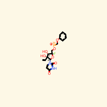 C=C[C@]1(O)[C@H](n2ccc(=O)[nH]c2=O)O[C@](F)(CO[PH](=O)COc2ccccc2)[C@H]1O